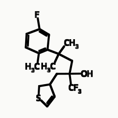 Cc1ccc(F)cc1C(C)(C)CC(O)(CC1C=CSC1)C(F)(F)F